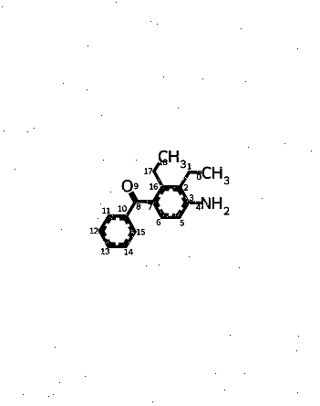 CCc1c(N)ccc(C(=O)c2ccccc2)c1CC